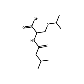 CC(C)CC(=O)NC(CSC(C)C)C(=O)O